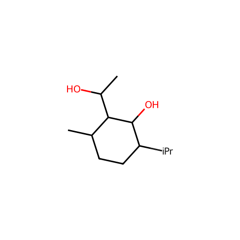 CC(C)C1CCC(C)C(C(C)O)C1O